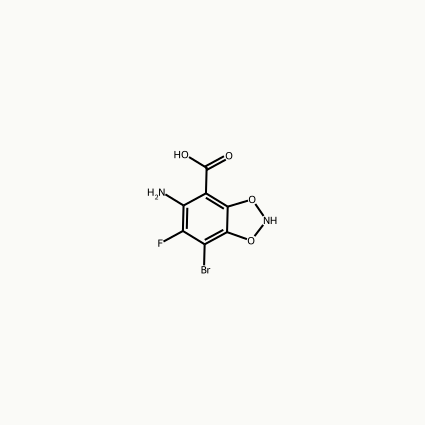 Nc1c(F)c(Br)c2c(c1C(=O)O)ONO2